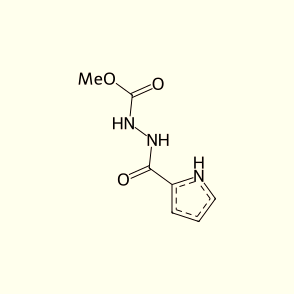 COC(=O)NNC(=O)c1ccc[nH]1